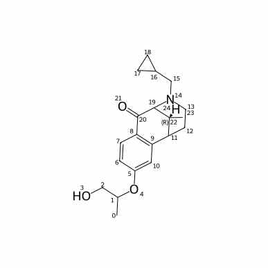 CC(CO)Oc1ccc2c(c1)C1CCN(CC3CC3)C(C2=O)[C@@H]1C